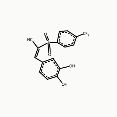 N#CC(=Cc1ccc(O)c(O)c1)S(=O)(=O)c1ccc(C(F)(F)F)cc1